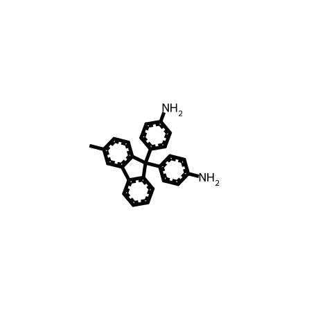 Cc1ccc2c(c1)-c1ccccc1C2(c1ccc(N)cc1)c1ccc(N)cc1